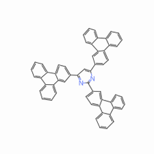 c1ccc2c(c1)c1ccccc1c1cc(-c3cc(-c4ccc5c6ccccc6c6ccccc6c5c4)nc(-c4ccc5c6ccccc6c6ccccc6c5c4)n3)ccc21